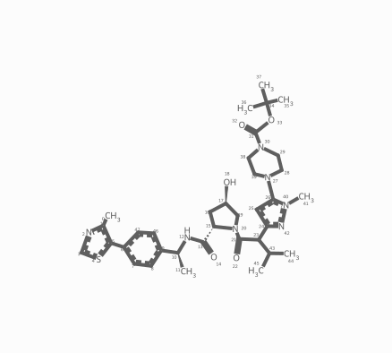 Cc1ncsc1-c1ccc([C@H](C)NC(=O)[C@@H]2C[C@@H](O)CN2C(=O)C(c2cc(N3CCN(C(=O)OC(C)(C)C)CC3)n(C)n2)C(C)C)cc1